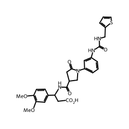 COc1ccc(C(CC(=O)O)NC(=O)C2CC(=O)N(c3cccc(NC(=O)NCc4cccs4)c3)C2)cc1OC